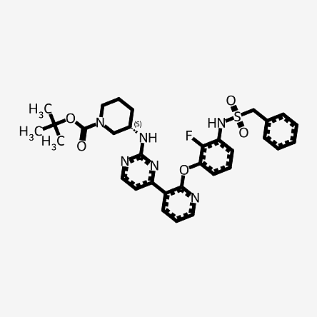 CC(C)(C)OC(=O)N1CCC[C@H](Nc2nccc(-c3cccnc3Oc3cccc(NS(=O)(=O)Cc4ccccc4)c3F)n2)C1